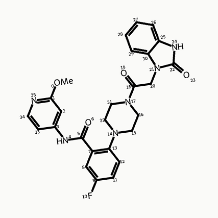 COc1cc(NC(=O)c2cc(F)ccc2N2CCN(C(=O)Cn3c(=O)[nH]c4ccccc43)CC2)ccn1